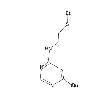 CCSCCNc1cc(C(C)(C)C)ncn1